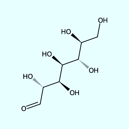 O=C[C@H](O)[C@H](O)[C@@H](O)[C@@H](O)[C@@H](O)CO